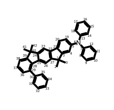 CC1(C)c2cc(N(c3ccccc3)c3ccccc3)ccc2-c2cc3c(cc21)-c1c(-c2ccccc2)cccc1C3(C)C